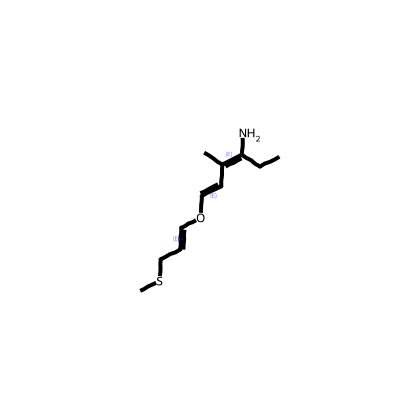 CC/C(N)=C(C)\C=C\O/C=C/CSC